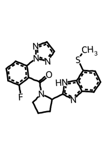 CSc1cccc2nc(C3CCCN3C(=O)c3c(F)cccc3-n3nccn3)[nH]c12